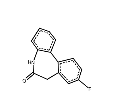 O=C1Cc2cc(F)ccc2-c2ccccc2N1